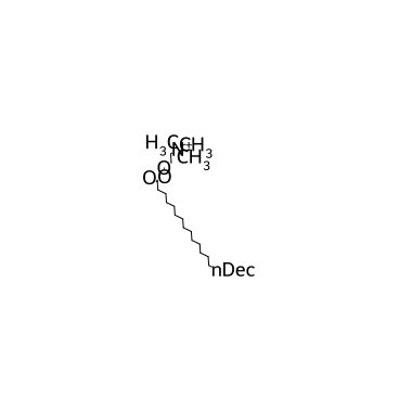 CCCCCCCCCCCCCCCCCCCCCCCC(=O)OOCC[N+](C)(C)C